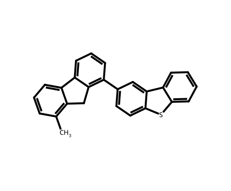 Cc1cccc2c1Cc1c(-c3ccc4sc5ccccc5c4c3)cccc1-2